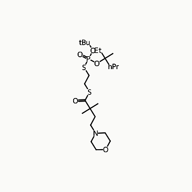 CCCC(C)(CC)OP(=O)(OC(C)(C)C)SCCSC(=O)C(C)(C)CCN1CCOCC1